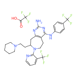 Nc1nc2c(c(Nc3ccc(C(F)(F)F)cc3)n1)CCN(c1ncccc1C(F)(F)F)C(CCN1CCCCC1)C2.O=C(O)C(F)(F)F